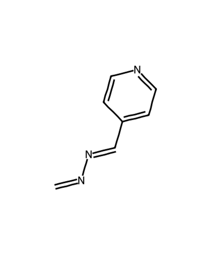 C=NN=Cc1ccncc1